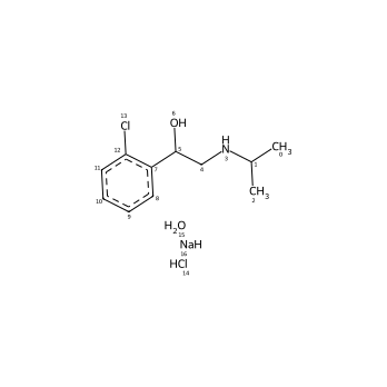 CC(C)NCC(O)c1ccccc1Cl.Cl.O.[NaH]